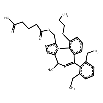 CCCSc1cccc2c1-n1c(COC(=O)CCCC(=O)O)nnc1C(C)N=C2c1c(CC)cccc1CC